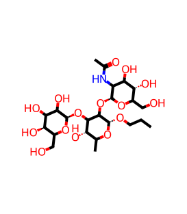 CCCO[C@@H]1OC(C)[C@H](O)C(O[C@H]2OC(CO)[C@@H](O)C(O)C2O)C1O[C@@H]1OC(CO)[C@@H](O)C(O)C1NC(C)=O